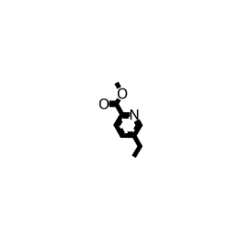 CCc1ccc(C(=O)OC)nc1